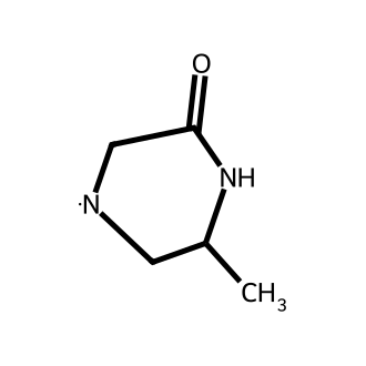 CC1C[N]CC(=O)N1